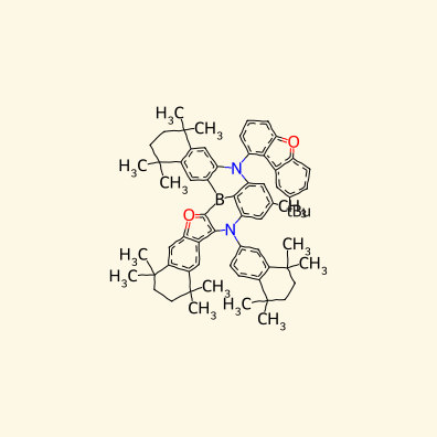 Cc1cc2c3c(c1)N(c1cccc4oc5ccc(C(C)(C)C)cc5c14)c1cc4c(cc1B3c1oc3cc5c(cc3c1N2c1ccc2c(c1)C(C)(C)CCC2(C)C)C(C)(C)CCC5(C)C)C(C)(C)CCC4(C)C